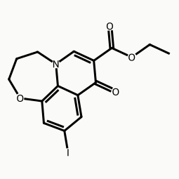 CCOC(=O)c1cn2c3c(cc(I)cc3c1=O)OCCC2